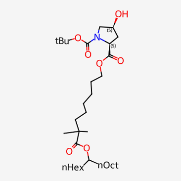 CCCCCCCCC(CCCCCC)OC(=O)C(C)(C)CCCCCCOC(=O)[C@@H]1C[C@H](O)CN1C(=O)OC(C)(C)C